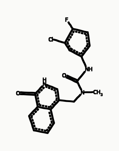 CN(Cc1c[nH]c(=O)c2ccccc12)C(=O)Nc1ccc(F)c(Cl)c1